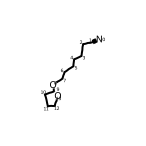 N#CCCCCCCOC1CCCO1